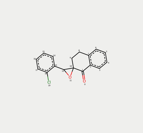 O=C1c2ccccc2CCC12OC2c1ccccc1Cl